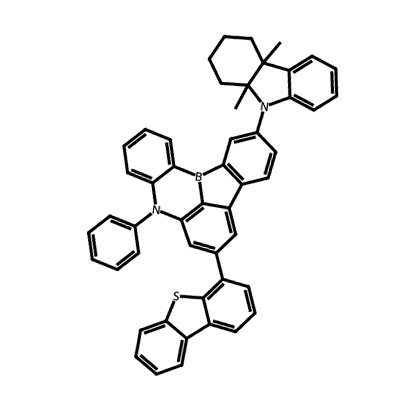 CC12CCCCC1(C)N(c1ccc3c(c1)B1c4ccccc4N(c4ccccc4)c4cc(-c5cccc6c5sc5ccccc56)cc-3c41)c1ccccc12